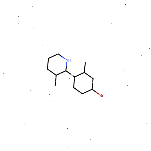 CC1CC(Br)CCC1C1NCCCC1C